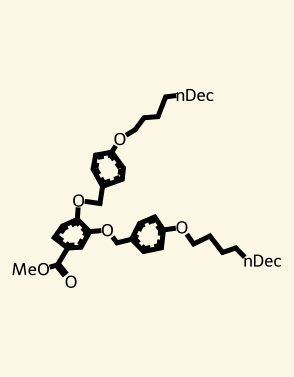 CCCCCCCCCCCCCCOc1ccc(COc2ccc(C(=O)OC)cc2OCc2ccc(OCCCCCCCCCCCCCC)cc2)cc1